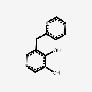 Oc1cccc(Cc2ccccn2)c1O